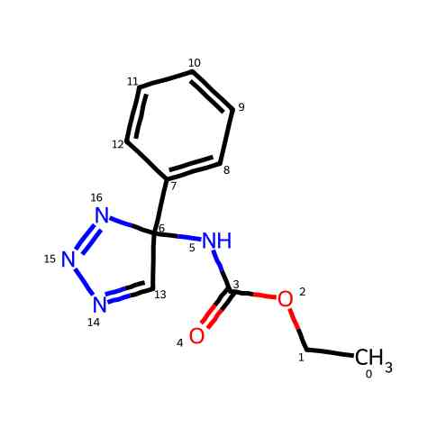 CCOC(=O)NC1(c2ccccc2)C=NN=N1